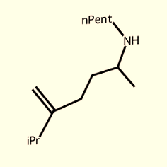 C=C(CCC(C)NCCCCC)C(C)C